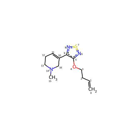 C=CCCOc1nsnc1C1=CCCN(C)C1